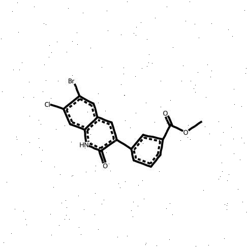 COC(=O)c1cccc(-c2cc3cc(Br)c(Cl)cc3[nH]c2=O)c1